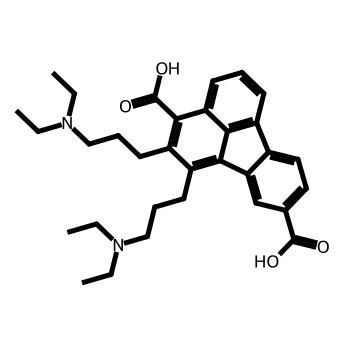 CCN(CC)CCCc1c(CCCN(CC)CC)c2c3c(cccc3c1C(=O)O)-c1ccc(C(=O)O)cc1-2